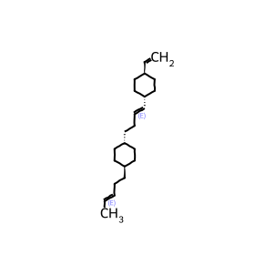 C=C[C@H]1CC[C@H](/C=C/CC[C@H]2CC[C@H](CC/C=C/C)CC2)CC1